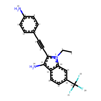 CCn1c(C#Cc2ccc(N)cc2)c(N)c2ccc(C(F)(F)F)cc21